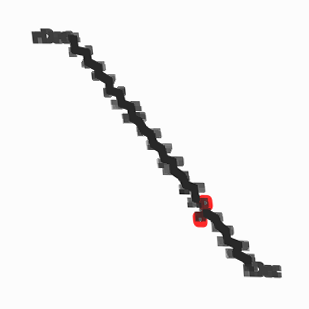 CCCCCCCCCCCCCCCCCCCCCCCCCCCCCCCCCCOC(=O)CCCCCCCCCCCCCCCCC